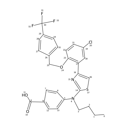 CCCCN(c1ccc(C(=O)O)cc1)c1nc(-c2cc(Cl)ccc2OCc2ccc(C(F)(F)F)cc2)cs1